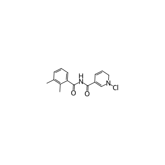 Cc1cccc(C(=O)NC(=O)C2=CN(Cl)CC=C2)c1C